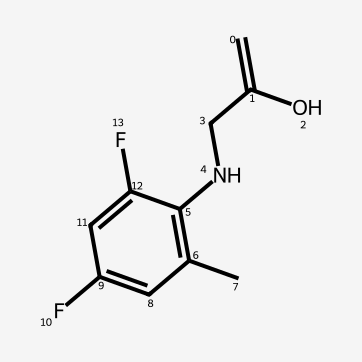 C=C(O)CNc1c(C)cc(F)cc1F